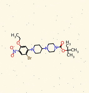 CCOc1cc(N2CCC(N3CCN(C(=O)OC(C)(C)C)CC3)CC2)c(Br)cc1[N+](=O)[O-]